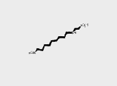 CCCCCCCCCCCCCCCCCCCNCCS(=O)(=O)O